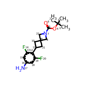 CC(C)(C)OC(=O)N1CC2(CC(c3c(F)cc(N)cc3F)C2)C1